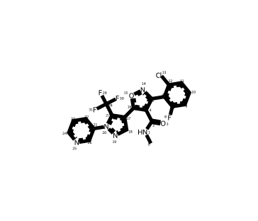 CNC(=O)c1c(-c2c(F)cccc2Cl)noc1-c1cnn(-c2cccnc2)c1C(F)(F)F